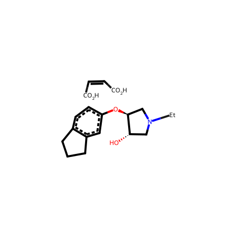 CCN1C[C@H](Oc2ccc3c(c2)CCC3)[C@@H](O)C1.O=C(O)/C=C\C(=O)O